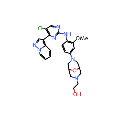 COc1cc(N2CC3CN(CCO)CC(C2)O3)ccc1Nc1ncc(Cl)c(-c2cnn3ccccc23)n1